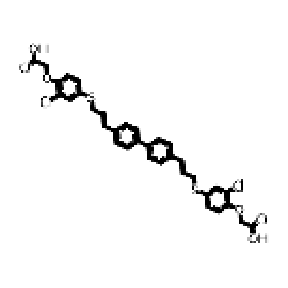 O=C(O)COc1ccc(SCCCc2ccc(-c3ccc(CCCSc4ccc(OCC(=O)O)c(Cl)c4)cc3)cc2)cc1Cl